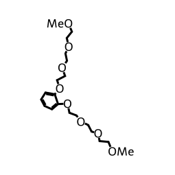 COCCOCCOCCOc1ccccc1OCCOCCOCCOC